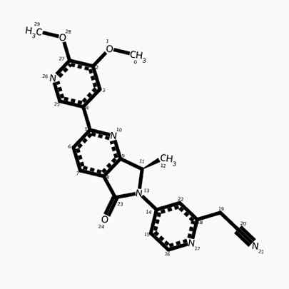 COc1cc(-c2ccc3c(n2)[C@@H](C)N(c2ccnc(CC#N)c2)C3=O)cnc1OC